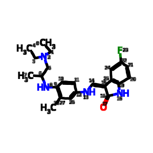 CCN(CC)CC(C)Nc1ccc(NC=C2C(=O)Nc3ccc(F)cc32)cc1C